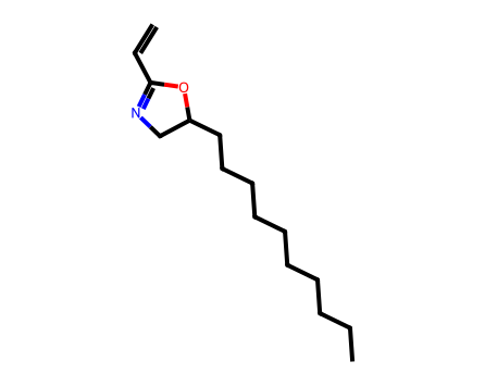 C=CC1=NCC(CCCCCCCCCC)O1